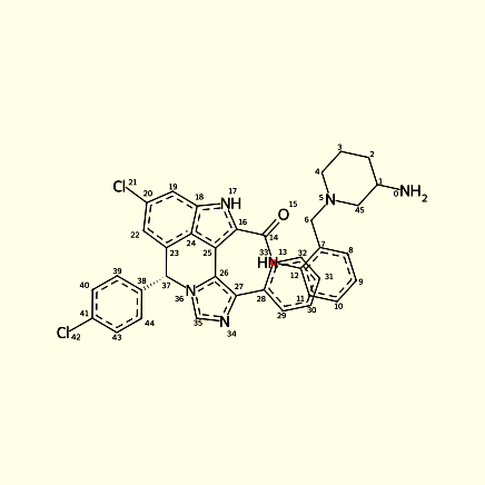 NC1CCCN(Cc2ccccc2NC(=O)c2[nH]c3cc(Cl)cc4c3c2-c2c(-c3ccccc3)ncn2[C@@H]4c2ccc(Cl)cc2)C1